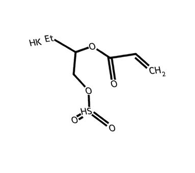 C=CC(=O)OC(CC)CO[SH](=O)=O.[KH]